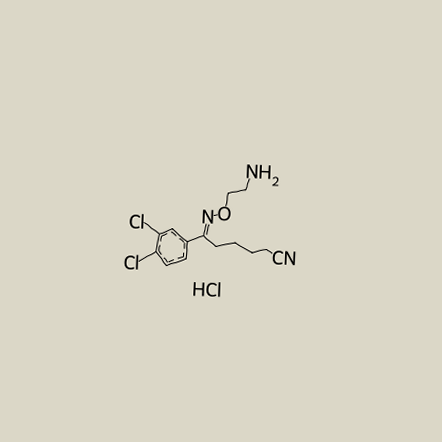 Cl.N#CCCCCC(=NOCCN)c1ccc(Cl)c(Cl)c1